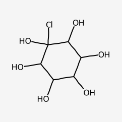 OC1C(O)C(O)C(O)(Cl)C(O)C1O